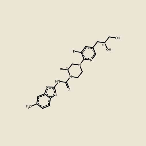 C[C@H]1CN(c2ncc(C[C@H](O)CO)cc2F)CCN1C(=O)Nc1nc2cc(C(F)(F)F)ccc2s1